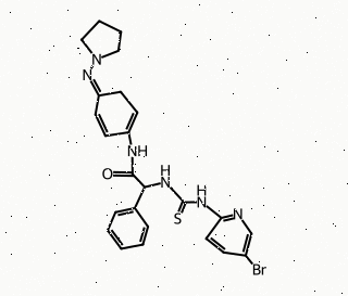 O=C(NC1=CCC(=NN2CCCC2)C=C1)C(NC(=S)Nc1ccc(Br)cn1)c1ccccc1